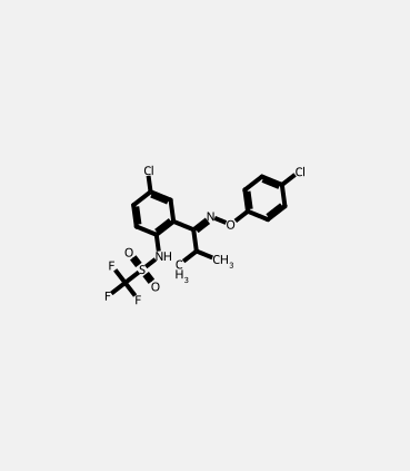 CC(C)/C(=N\Oc1ccc(Cl)cc1)c1cc(Cl)ccc1NS(=O)(=O)C(F)(F)F